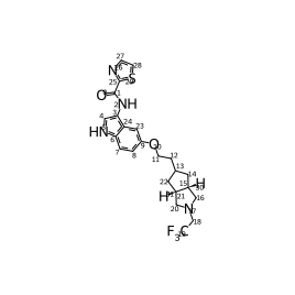 O=C(Nc1c[nH]c2ccc(OCCC3C[C@@H]4CN(CC(F)(F)F)C[C@@H]4C3)cc12)c1nccs1